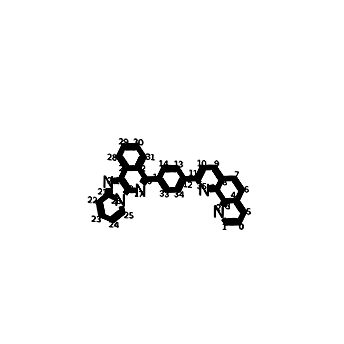 c1cnc2c(c1)ccc1ccc(-c3ccc(-c4nc5c(nc6ccccn65)c5ccccc45)cc3)nc12